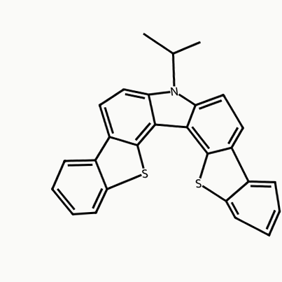 CC(C)n1c2ccc3c4ccccc4sc3c2c2c3sc4ccccc4c3ccc21